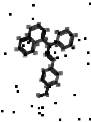 CCc1ccc(C=NN(c2ccccc2)c2cccc3ccccc23)cc1